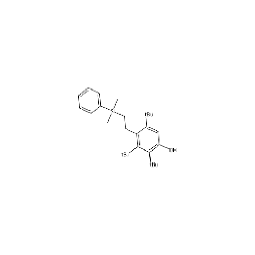 CC(C)(C)c1cc(O)c(C(C)(C)C)c(C(C)(C)C)c1CC[Si](C)(C)c1ccccc1